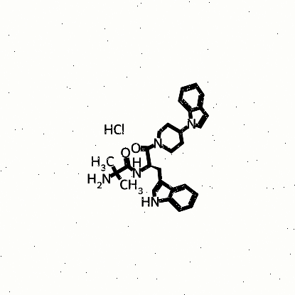 CC(C)(N)C(=O)N[C@H](Cc1c[nH]c2ccccc12)C(=O)N1CCC(n2ccc3ccccc32)CC1.Cl